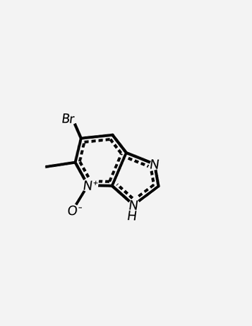 Cc1c(Br)cc2nc[nH]c2[n+]1[O-]